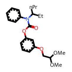 CCCC(CC)N(C(=O)Oc1cccc(OCC(OC)OC)c1)c1ccccc1